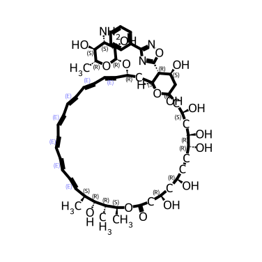 C[C@@H]1[C@H](O)[C@@H](C)/C=C/C=C/C=C/C=C/C=C/C=C/C=C/[C@H](O[C@@H]2O[C@H](C)[C@@H](O)[C@H](N)[C@@H]2O)C[C@@H]2O[C@](O)(C[C@@H](O)C[C@@H](O)[C@H](O)CC[C@@H](O)C[C@@H](O)CC(=O)O[C@H]1C)C[C@H](O)[C@H]2c1nc(-c2ccccc2)no1